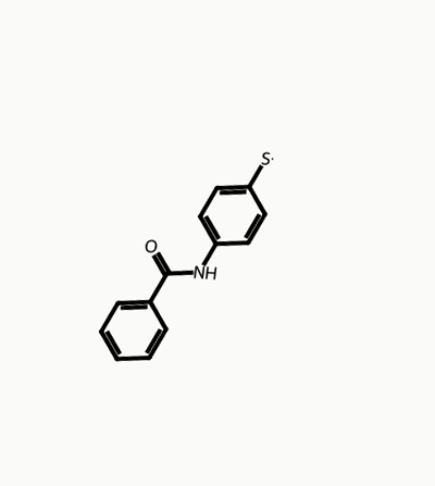 O=C(Nc1ccc([S])cc1)c1ccccc1